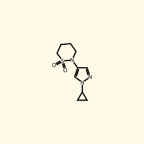 O=S1(=O)CCCCN1c1cnn(C2CC2)c1